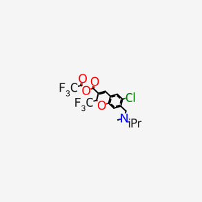 CC(C)N(C)Cc1cc2c(cc1Cl)C=C(C(=O)OC(=O)C(F)(F)F)C(C(F)(F)F)O2